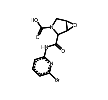 O=C(Nc1cccc(Br)n1)C1C2OC2CN1C(=O)O